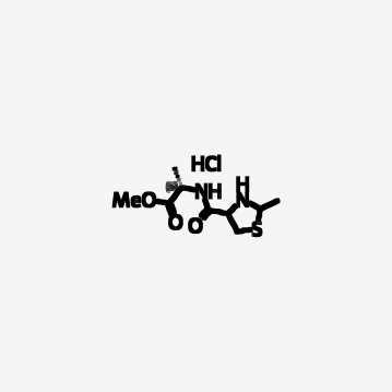 COC(=O)[C@H](C)NC(=O)C1CSC(C)N1.Cl